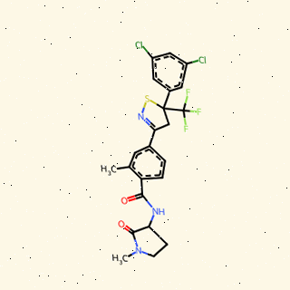 Cc1cc(C2=NSC(c3cc(Cl)cc(Cl)c3)(C(F)(F)F)C2)ccc1C(=O)NC1CCN(C)C1=O